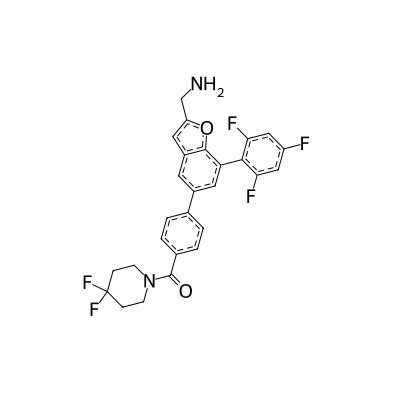 NCc1cc2cc(-c3ccc(C(=O)N4CCC(F)(F)CC4)cc3)cc(-c3c(F)cc(F)cc3F)c2o1